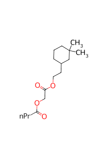 CCCC(=O)OCC(=O)OCCC1CCCC(C)(C)C1